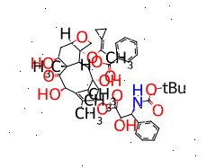 CC(O[C@@]12CO[C@@H]1C[C@H](O)[C@@]1(C)C(=O)[C@H](O)C3=C(C)[C@@H](OC(=O)[C@H](O)[C@@H](NC(=O)OC(C)(C)C)c4ccccc4)C[C@](O)([C@@H](OC(=O)c4ccccc4)[C@H]21)C3(C)C)=C1CC1